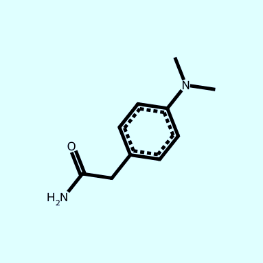 CN(C)c1ccc(CC(N)=O)cc1